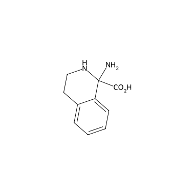 NC1(C(=O)O)NCCc2ccccc21